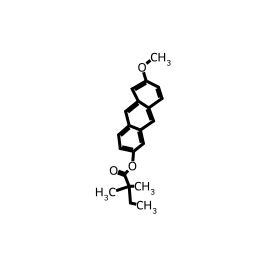 CCC(C)(C)C(=O)Oc1ccc2cc3cc(OC)ccc3cc2c1